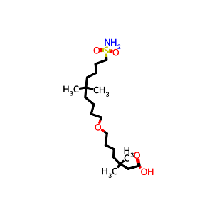 CC(C)(CCCCOCCCCC(C)(C)CC(=O)O)CCCCS(N)(=O)=O